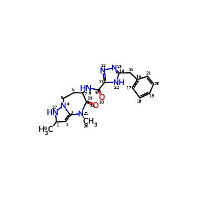 CC1C=C2N(CCC(NC(=O)c3nnc(Cc4ccccc4)[nH]3)C(=O)N2C)N1